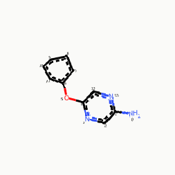 Nc1cnc(Oc2ccccc2)cn1